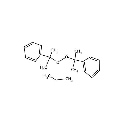 CC(C)(OOC(C)(C)c1ccccc1)c1ccccc1.CCC